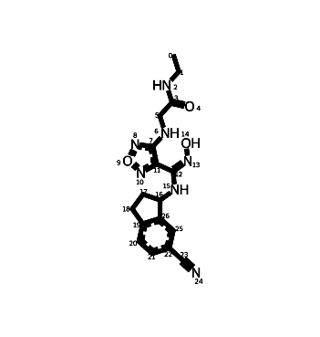 CCNC(=O)CNc1nonc1/C(=N\O)NC1CCc2ccc(C#N)cc21